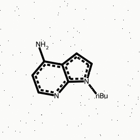 CCCCn1ccc2c(N)ccnc21